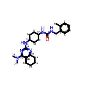 Cc1ccccc1CNC(=O)NC1CCC(Nc2nc3c(c(N(C)C)n2)CCCC3)CC1